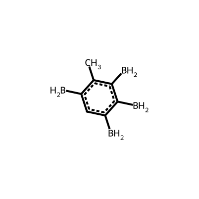 Bc1cc(B)c(C)c(B)c1B